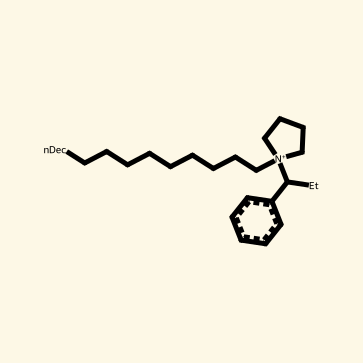 CCCCCCCCCCCCCCCCCCC[N+]1(C(CC)c2ccccc2)CCCC1